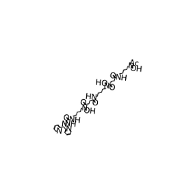 CC(=O)N(O)CCCCCNC(=O)CCC(=O)N(O)CCCCCNC(=O)CCC(=O)N(O)CCCCCNC(=O)NN=C(c1ccccn1)c1ccccn1